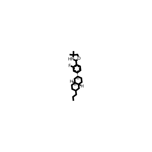 CCCC1CC[C@@H]2C[C@H](c3ccc(C4NC(C)(C)CO4)c(F)c3)CC[C@@H]2C1